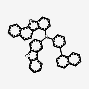 c1cc(-c2cccc3ccccc23)cc(N(c2ccc3oc4ccccc4c3c2)c2cccc3oc4c5ccccc5ccc4c23)c1